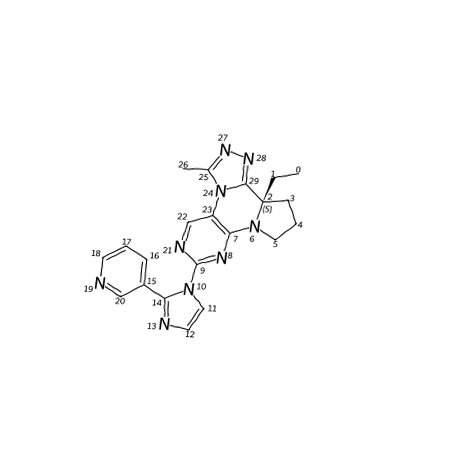 CC[C@@]12CCCN1c1nc(-n3ccnc3-c3cccnc3)ncc1-n1c(C)nnc12